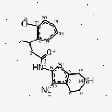 CC(CC(=O)Nc1sc2c(c1C#N)CCNC2)c1ccccc1Cl